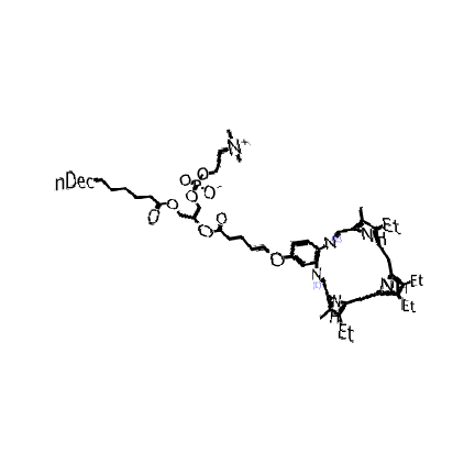 CCCCCCCCCCCCCCCC(=O)OCC(COP(=O)([O-])OCC[N+](C)(C)C)OC(=O)CCCCOc1ccc2c(c1)/N=C/c1[nH]c(c(CC)c1C)Cc1[nH]c(c(CC)c1CC)Cc1[nH]c(c(C)c1CC)/C=N/2